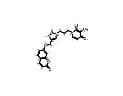 CCc1c(O)c(=O)ccn1CCCn1cc(COc2ccc3ccc(=O)oc3c2)nn1